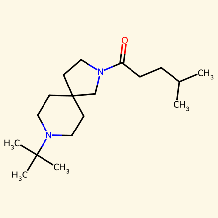 CC(C)CCC(=O)N1CCC2(CCN(C(C)(C)C)CC2)C1